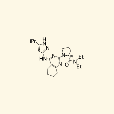 CCN(CC)C(=O)[C@H]1CCCN1c1nc2c(c(Nc3cc(C(C)C)[nH]n3)n1)CCCC2